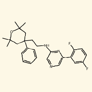 CC1(C)CC(CCNc2cncc(-c3cc(F)ccc3F)n2)(c2ccccc2)CC(C)(C)O1